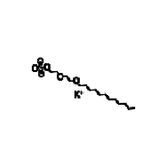 CCCCCCCCCCCCOCCOCCOS(=O)(=O)[O-].[K+]